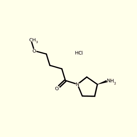 COCCCC(=O)N1CC[C@H](N)C1.Cl